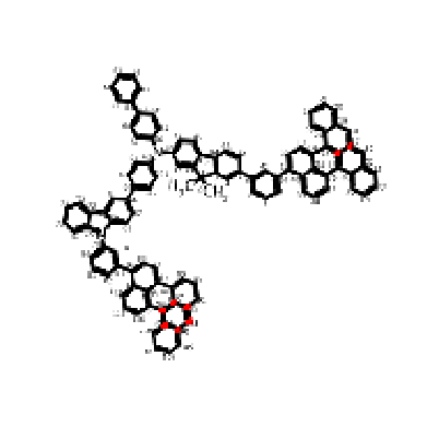 CC1(C)c2cc(-c3cccc(-c4ccc(-c5cccc6ccccc56)c5c(-c6cccc7ccccc67)cccc45)c3)ccc2-c2ccc(N(c3ccc(-c4ccccc4)cc3)c3ccc(-c4ccc5c(c4)c4ccccc4n5-c4cccc(-c5ccc(-c6cccc7ccccc67)c6c(-c7cccc8ccccc78)cccc56)c4)cc3)cc21